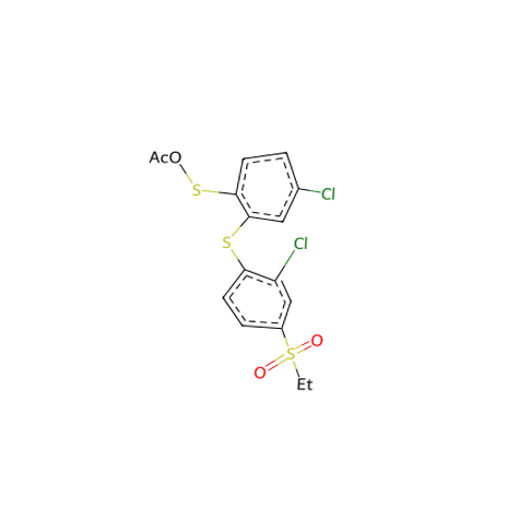 CCS(=O)(=O)c1ccc(Sc2cc(Cl)ccc2SOC(C)=O)c(Cl)c1